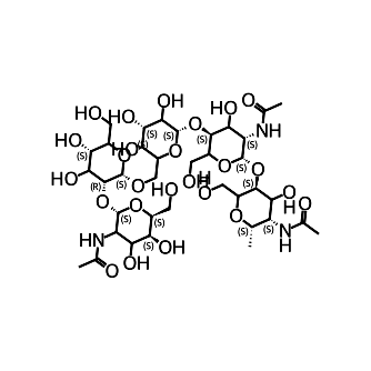 CC(=O)NC1C(O)[C@H](O)[C@H](CO)O[C@H]1O[C@@H]1C(O)[C@H](O)C(CO)O[C@@H]1OCC1O[C@@H](O[C@@H]2C(CO)O[C@@H](O[C@@H]3C(CO)O[C@@H](C)[C@@H](NC(C)=O)C3O)[C@@H](NC(C)=O)C2O)C(O)[C@@H](O)[C@@H]1O